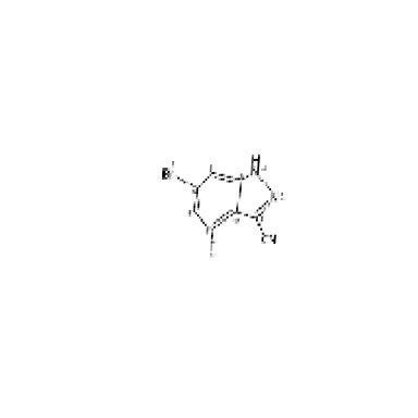 N#Cc1n[nH]c2cc(Br)cc(F)c12